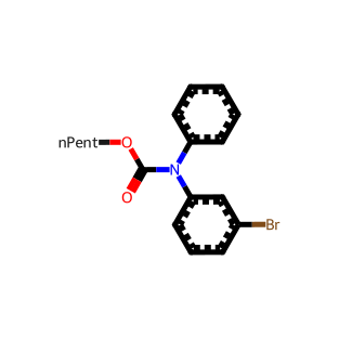 [CH2]CCCCOC(=O)N(c1ccccc1)c1cccc(Br)c1